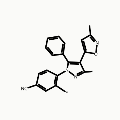 Cc1cc(-c2c(C)nn(-c3ccc(C#N)cc3F)c2-c2ccccc2)on1